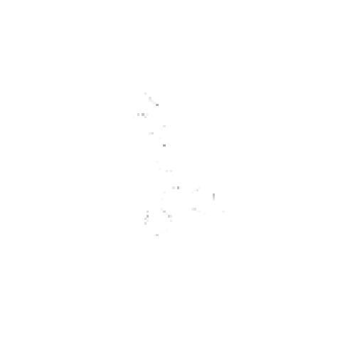 Cc1noc(C)c1S(=O)(=O)NCC1=NN(c2ccc(Cl)cc2Cl)C(c2ccc(Cl)cc2)C1